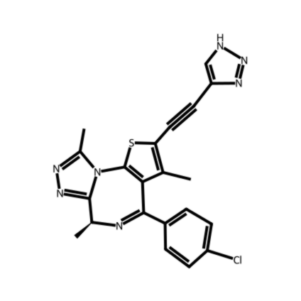 Cc1c(C#Cc2c[nH]nn2)sc2c1C(c1ccc(Cl)cc1)=N[C@@H](C)c1nnc(C)n1-2